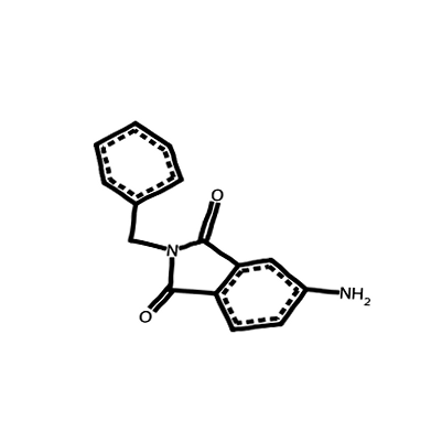 Nc1ccc2c(c1)C(=O)N(Cc1ccccc1)C2=O